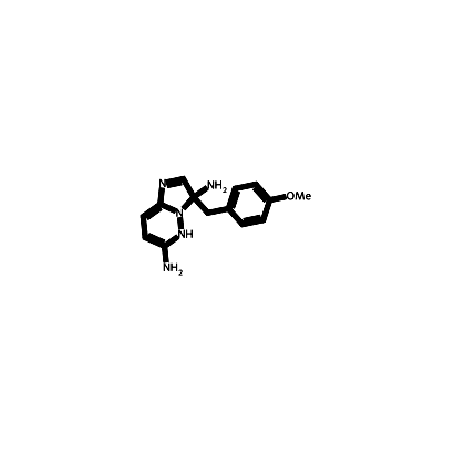 COc1ccc(CC2(N)C=NC3=CC=C(N)NN32)cc1